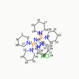 C1CCN(P(=N[PH](N2CCCCC2)(N2CCCCC2)N2CCCCC2)(N2CCCCC2)N2CCCCC2)CC1.Cl